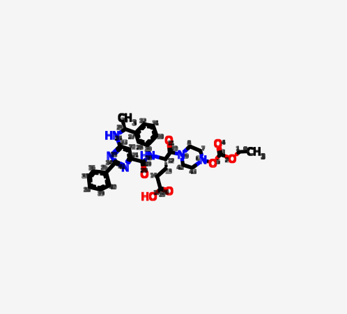 CCOC(=O)ON1CCN(C(=O)[C@H](CCC(=O)O)NC(=O)c2cc(N[C@@H](C)c3ccccc3)nc(-c3ccccc3)n2)CC1